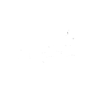 COC[C@H](c1cnn2cc(CC3CCCCCC3)nc2c1)N1C[C@@H](C(F)(F)F)NC1=O